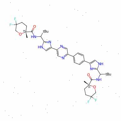 CC(C)(C)C(NC(=O)[C@@]1(C)CCC(F)(F)CO1)c1nc(-c2ccc(-c3cnc(-c4c[nH]c(C(NC(=O)[C@@]5(C)CCC(F)(F)CO5)C(C)(C)C)n4)cn3)cc2)c[nH]1